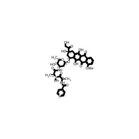 CCCN(C(=O)[C@@H](C)NC(=O)c1ccncc1)[C@@H](C)C(=O)N[C@H]1C[C@H](O[C@H]2C[C@](O)(C(=O)CO)Cc3c(O)c4c(c(O)c32)C(=O)c2c(OC)cccc2C4=O)O[C@@H](C)[C@H]1O